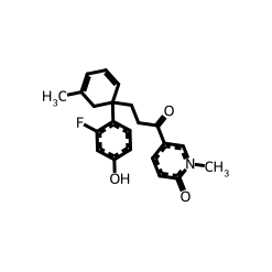 CC1=CC=CC(CCC(=O)c2ccc(=O)n(C)c2)(c2ccc(O)cc2F)C1